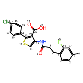 Cc1ccc(CCC(=O)Nc2csc(-c3ccc(Cl)cc3)c2C(=O)O)c(F)c1